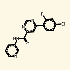 O=C(Nc1cccnc1)c1cc(-c2ccc(Cl)cc2F)ncn1